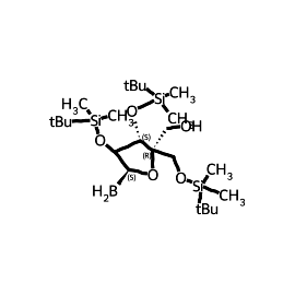 B[C@@H]1O[C@](CO)(CO[Si](C)(C)C(C)(C)C)[C@@H](O[Si](C)(C)C(C)(C)C)C1O[Si](C)(C)C(C)(C)C